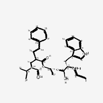 CCN[C@@H](Cc1c[nH]c2ccccc12)C(=O)O.CCOC(=O)C(CCc1ccccc1)CN(C=O)C(C)C